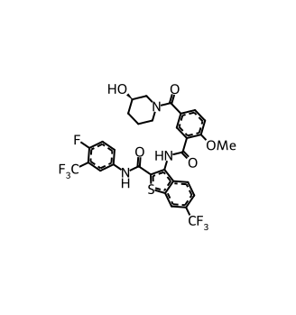 COc1ccc(C(=O)N2CCC[C@@H](O)C2)cc1C(=O)Nc1c(C(=O)Nc2ccc(F)c(C(F)(F)F)c2)sc2cc(C(F)(F)F)ccc12